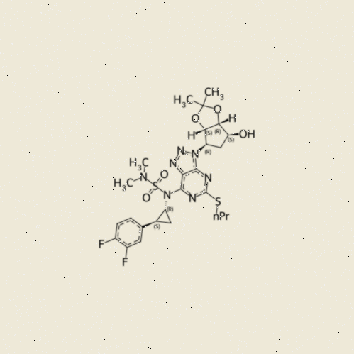 CCCSc1nc(N([C@@H]2C[C@H]2c2ccc(F)c(F)c2)S(=O)(=O)N(C)C)c2nnn([C@@H]3C[C@H](O)[C@H]4OC(C)(C)O[C@H]43)c2n1